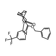 O=C(OCc1ccccc1)N1CC2CC(C1)C21CC(=O)N(c2cc(C(F)(F)F)ccn2)C1